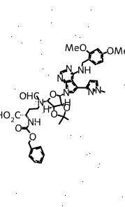 COc1ccc(CNc2ncnc3c2c(-c2ccn(C)n2)cn3[C@@H]2O[C@H](N(C=O)CC[C@H](NC(=O)OCc3ccccc3)C(=O)O)[C@H]3OC(C)(C)O[C@H]32)c(OC)c1